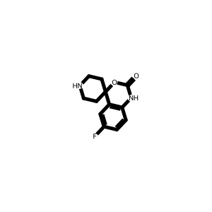 O=C1Nc2ccc(F)cc2C2(CCNCC2)O1